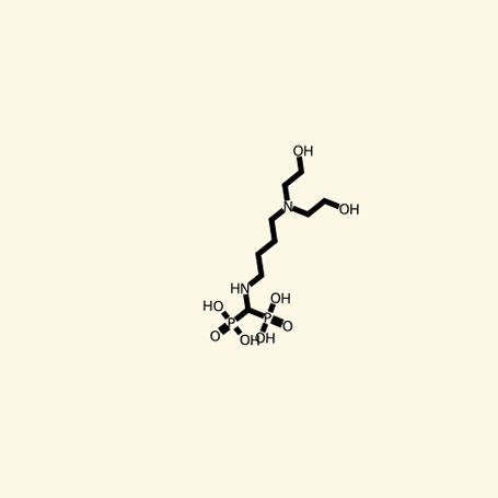 O=P(O)(O)C(NCCCCN(CCO)CCO)P(=O)(O)O